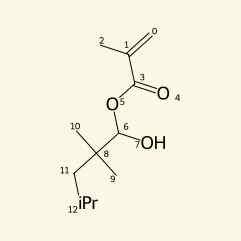 C=C(C)C(=O)OC(O)C(C)(C)CC(C)C